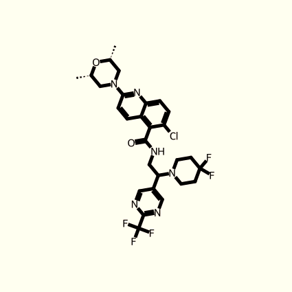 C[C@@H]1CN(c2ccc3c(C(=O)NCC(c4cnc(C(F)(F)F)nc4)N4CCC(F)(F)CC4)c(Cl)ccc3n2)C[C@H](C)O1